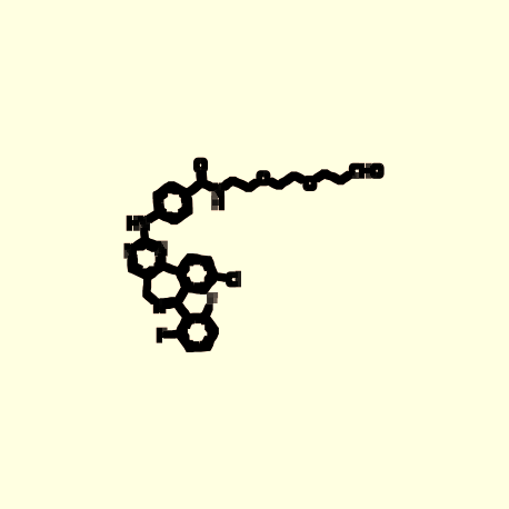 O=CCCOCCOCCNC(=O)c1ccc(Nc2ncc3c(n2)-c2ccc(Cl)cc2C(c2c(F)cccc2F)=NC3)cc1